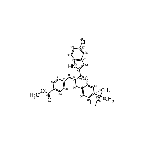 COC(=O)c1ccc(C[C@H](Cc2ccc(C(C)(C)C)cc2)C(=O)c2cc3cc(Cl)ccc3[nH]2)cc1